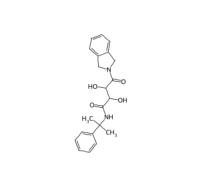 CC(C)(NC(=O)C(O)C(O)C(=O)N1Cc2ccccc2C1)c1ccccc1